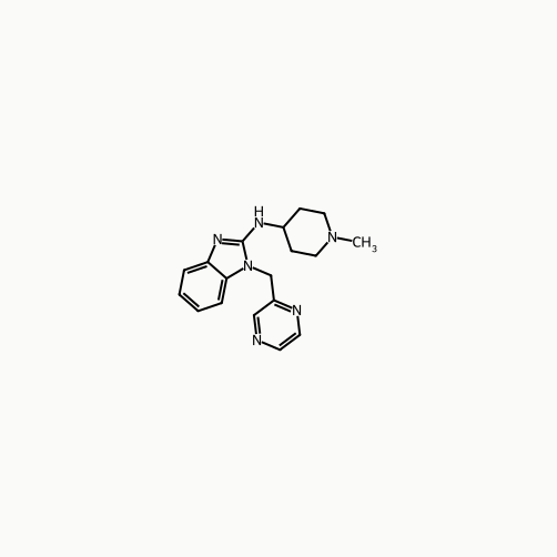 CN1CCC(Nc2nc3ccccc3n2Cc2cnccn2)CC1